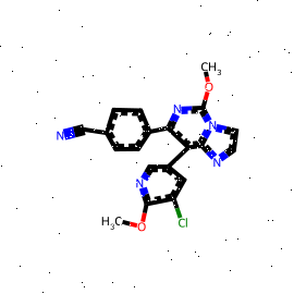 COc1ncc(-c2c(-c3ccc(C#N)cc3)nc(OC)n3ccnc23)cc1Cl